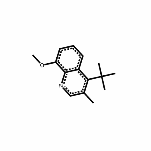 COc1cccc2c(C(C)(C)C)c(C)cnc12